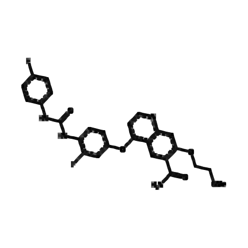 COCCOc1cc2nccc(Oc3ccc(NC(=O)Nc4ccc(F)cc4)c(F)c3)c2cc1C(N)=O